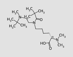 CN(C)[C@@H](CCCCN(CCN(C)C(C)(C)C)C(=O)C(C)(C)C)C(=O)O